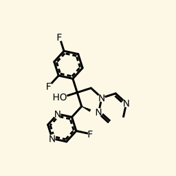 C=NN(/C=N\C)CC(O)(c1ccc(F)cc1F)[C@@H](C)c1ncncc1F